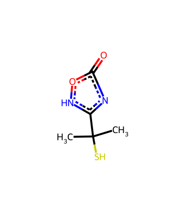 CC(C)(S)c1nc(=O)o[nH]1